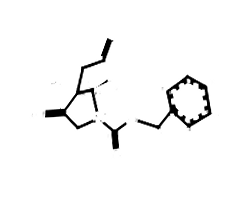 C=CC[C@]1(C)C(=O)CN(C(=O)OCc2ccccc2)[C@@H]1C(=O)O